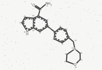 NC(=O)c1cc(-c2ccc(CN3CCOCC3)cc2)cc2[nH]ccc12